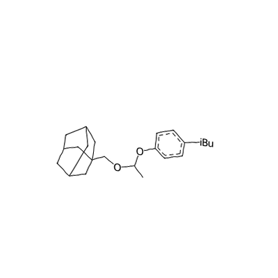 CCC(C)c1ccc(OC(C)OCC23CC4CC(CC(C4)C2)C3)cc1